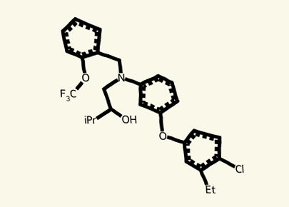 CCc1cc(Oc2cccc(N(Cc3ccccc3OC(F)(F)F)CC(O)C(C)C)c2)ccc1Cl